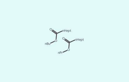 CCCCCCCC(=O)OCCC.CCCCCCCC(=O)OCCCC